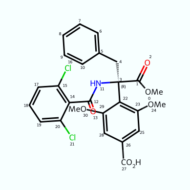 COC(=O)[C@](Cc1ccccc1)(NC(=O)c1c(Cl)cccc1Cl)c1c(OC)cc(C(=O)O)cc1OC